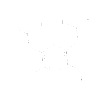 COc1cc(Br)c(CC(=O)Cl)cc1OC(F)F